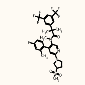 Cc1cc(F)ccc1-c1cc(N2CCC(S(C)(=O)=O)C2)ncc1N(C)C(=O)C(C)(C)c1cc(C(F)(F)F)cc(C(F)(F)F)c1